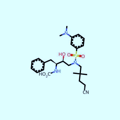 CN(C)c1cccc(S(=O)(=O)N(C[C@H](O)[C@H](Cc2ccccc2)NC(=O)O)CC(C)(C)CCC#N)c1